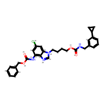 O=C(NCc1cccc(C2CC2)c1)OCCCCn1cnc2c(NC(=O)OCc3ccccc3)cc(Cl)cc21